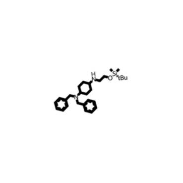 CC(C)(C)[Si](C)(C)OCCNC1CCC(N(Cc2ccccc2)Cc2ccccc2)CC1